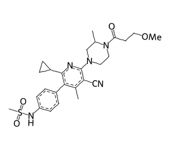 COCCC(=O)N1CCN(c2nc(C3CC3)c(-c3ccc(NS(C)(=O)=O)cc3)c(C)c2C#N)CC1C